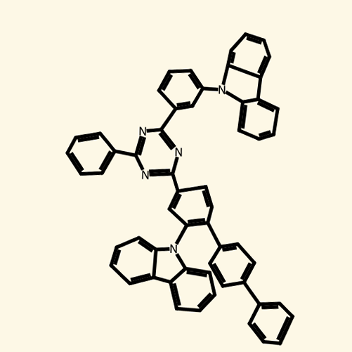 c1ccc(-c2ccc(-c3ccc(-c4nc(-c5ccccc5)nc(-c5cccc(-n6c7ccccc7c7ccccc76)c5)n4)cc3-n3c4ccccc4c4ccccc43)cc2)cc1